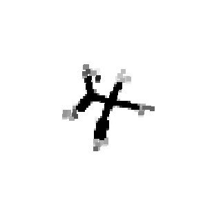 C#CC(C)(O)C(=C)C